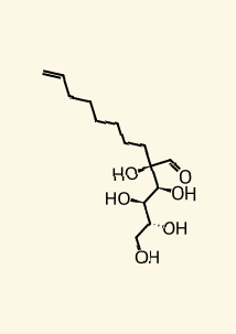 C=CCCCCCC[C@](O)(C=O)[C@@H](O)[C@H](O)[C@H](O)CO